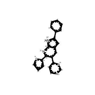 c1ccc(-c2cc3cc(-c4ccncn4)c(-c4ccco4)nc3[nH]2)cc1